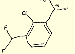 C[C@@H](N)c1cccc(C(F)F)c1Cl